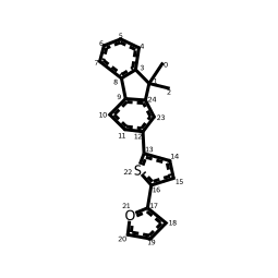 CC1(C)c2ccccc2-c2ccc(-c3ccc(-c4ccco4)s3)cc21